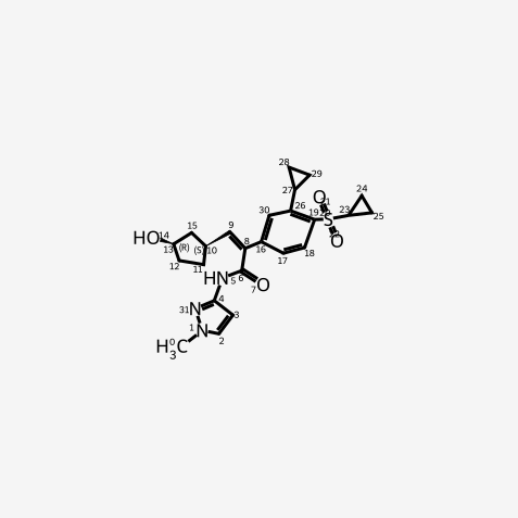 Cn1ccc(NC(=O)C(=C[C@H]2CC[C@@H](O)C2)c2ccc(S(=O)(=O)C3CC3)c(C3CC3)c2)n1